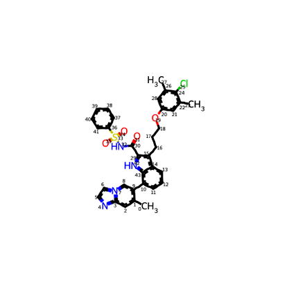 Cc1cc2nccn2cc1-c1cccc2c(CCCOc3cc(C)c(Cl)c(C)c3)c(C(=O)NS(=O)(=O)c3ccccc3)[nH]c12